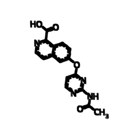 CC(=O)Nc1nccc(Oc2ccc3c(C(=O)O)nccc3c2)n1